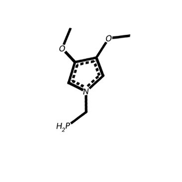 COc1cn(CP)cc1OC